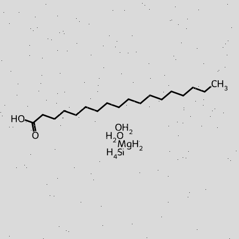 CCCCCCCCCCCCCCCCCC(=O)O.O.O.[MgH2].[SiH4]